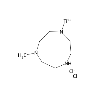 CN1CCNCC[N]([Ti+2])CC1.[Cl-].[Cl-]